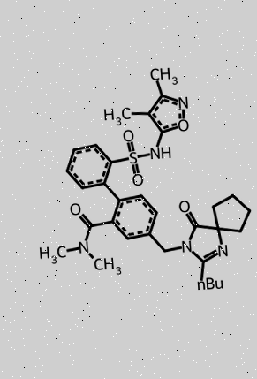 CCCCC1=NC2(CCCC2)C(=O)N1Cc1ccc(-c2ccccc2S(=O)(=O)Nc2onc(C)c2C)c(C(=O)N(C)C)c1